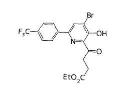 CCOC(=O)CCC(=O)c1nc(-c2ccc(C(F)(F)F)cc2)cc(Br)c1O